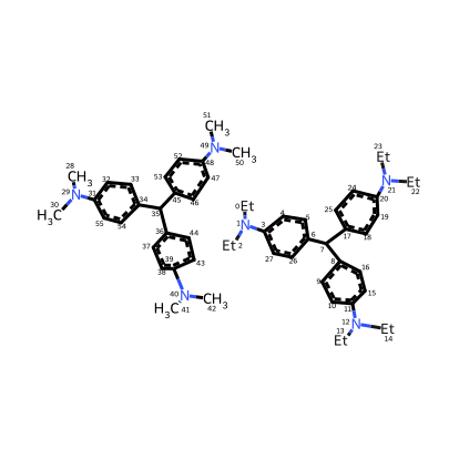 CCN(CC)c1ccc(C(c2ccc(N(CC)CC)cc2)c2ccc(N(CC)CC)cc2)cc1.CN(C)c1ccc(C(c2ccc(N(C)C)cc2)c2ccc(N(C)C)cc2)cc1